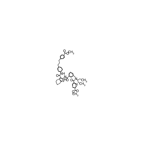 CCC(CC)N(Cc1cccc(C(=O)Nc2sc3c(c2C(=O)Nc2ccc(CCCc4ccc(C(=O)OC)cc4)cc2)CCCC3)c1)C(=O)c1ccc(C(=O)OC)cn1